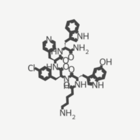 NCCCCC(=O)N[C@@H](Cc1c[nH]c2ccc(O)cc12)C(=O)N[C@@H](Cc1ccc(Cl)cc1)C(=O)N[C@@H](Cc1ccncc1)C(=O)N[C@H](Cc1c[nH]c2ccccc12)C(N)=O